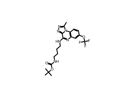 Cc1nnc2c(NCCCCNC(=O)OC(C)(C)C)nc3cc(OC(F)(F)F)ccc3n12